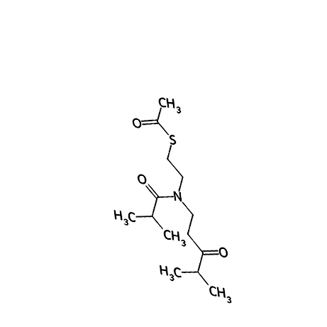 CC(=O)SCCN(CCC(=O)C(C)C)C(=O)C(C)C